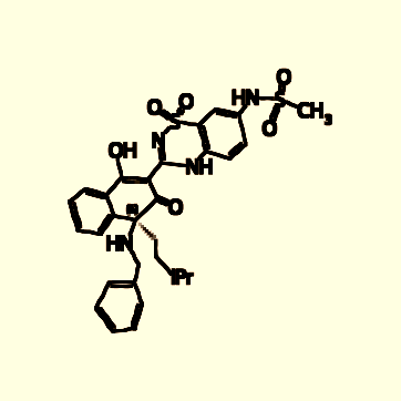 CC(C)CC[C@@]1(NCc2ccccc2)C(=O)C(C2=NS(=O)(=O)c3cc(NS(C)(=O)=O)ccc3N2)=C(O)c2ccccc21